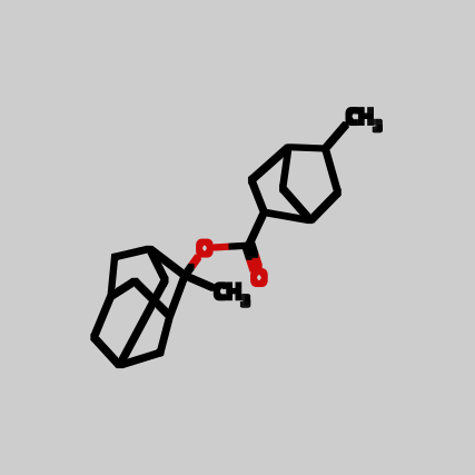 CC1CC2CC1CC2C(=O)OC1(C)C2CC3CC(C2)CC1C3